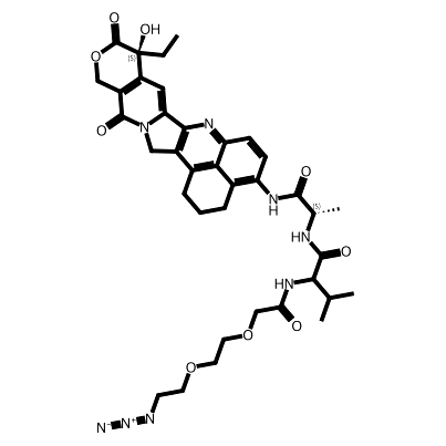 CC[C@@]1(O)C(=O)OCc2c1cc1n(c2=O)Cc2c-1nc1ccc(NC(=O)[C@H](C)NC(=O)C(NC(=O)COCCOCCN=[N+]=[N-])C(C)C)c3c1c2CCC3